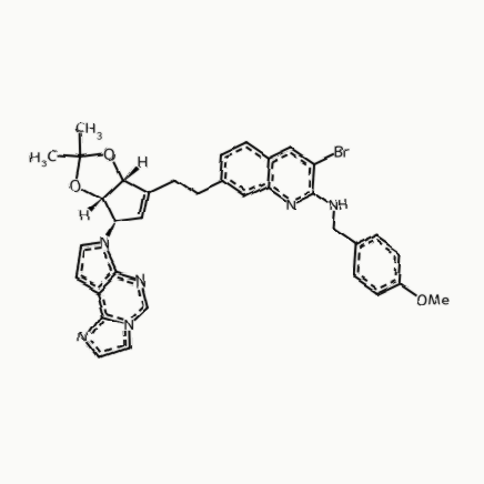 COc1ccc(CNc2nc3cc(CCC4=C[C@@H](n5ccc6c5ncn5ccnc65)[C@@H]5OC(C)(C)O[C@H]45)ccc3cc2Br)cc1